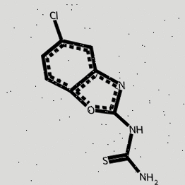 NC(=S)Nc1nc2cc(Cl)ccc2o1